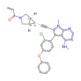 C=CC(=O)N1C[C@@H]2[C@@H](C#Cc3c(-c4ccc(Oc5ccccc5)cc4Cl)c4c(N)ncnc4n3C)[C@@H]2C1